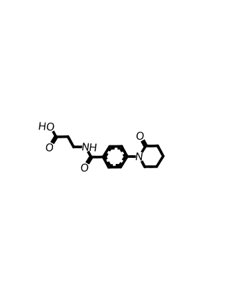 O=C(O)CCNC(=O)c1ccc(N2CCCCC2=O)cc1